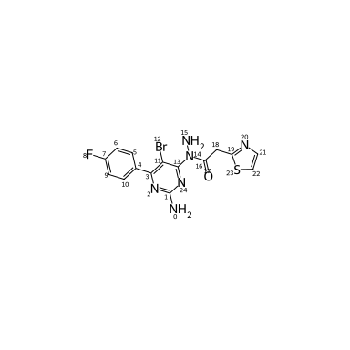 Nc1nc(-c2ccc(F)cc2)c(Br)c(N(N)C(=O)Cc2nccs2)n1